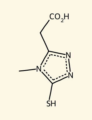 Cn1c(S)nnc1CC(=O)O